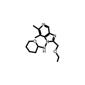 CCOCc1nc2cnc(C)c(C)c2n1NC1CCCCO1